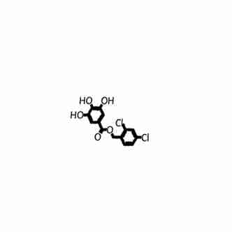 O=C(OCc1ccc(Cl)cc1Cl)c1cc(O)c(O)c(O)c1